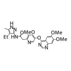 CCc1c(NC(=O)Cc2ncc(Oc3ncnc4cc(OC)c(OC)cc34)cc2OC)n[nH]c1C